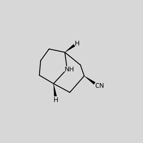 N#C[C@@H]1C[C@H]2CCC[C@@H](C1)N2